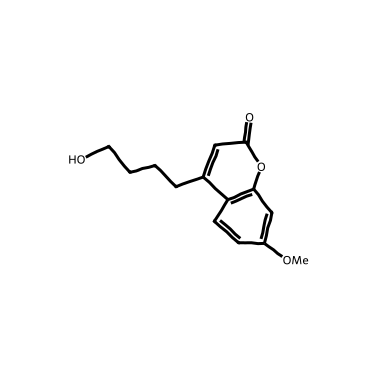 COc1ccc2c(CCCCO)cc(=O)oc2c1